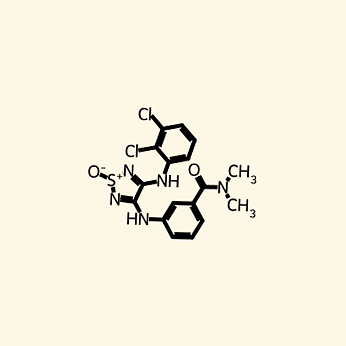 CN(C)C(=O)c1cccc(Nc2n[s+]([O-])nc2Nc2cccc(Cl)c2Cl)c1